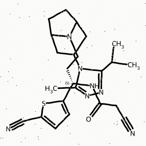 Cc1nnc(C(C)C)n1C1CC2CCC(C1)N2CC[C@H](NC(=O)CC#N)c1ccc(C#N)s1